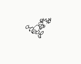 COC(=O)c1ccc2c(c1)N(C[C@@H]1CC[C@H]1[C@H]1C[C@H](O[C@@H](C)CSc3ncccn3)CCO1)CCCCc1cc(Cl)ccc1CO2